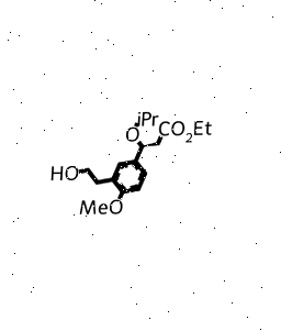 CCOC(=O)C[C@H](OC(C)C)c1ccc(OC)c(CCO)c1